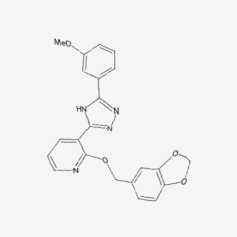 COc1cccc(-c2nnc(-c3cccnc3OCc3ccc4c(c3)OCO4)[nH]2)c1